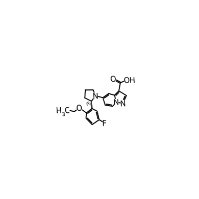 CCOc1ccc(F)cc1[C@H]1CCCN1c1ccn2ncc(C(=O)O)c2c1